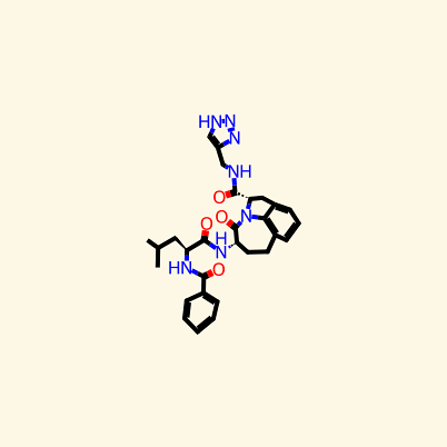 CC(C)C[C@H](NC(=O)c1ccccc1)C(=O)N[C@H]1CCc2cccc3c2N(C1=O)[C@H](C(=O)NCc1c[nH]nn1)C3